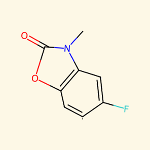 Cn1c(=O)oc2c[c]c(F)cc21